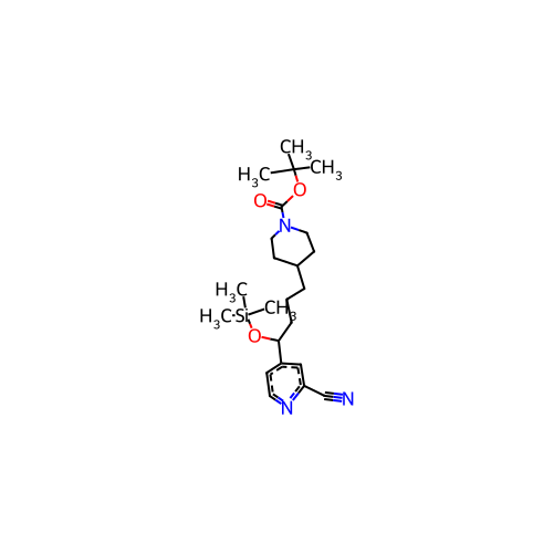 CC(C)(C)OC(=O)N1CCC(CCCC(O[Si](C)(C)C)c2ccnc(C#N)c2)CC1